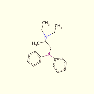 CCN(CC)C(C)CP(c1ccccc1)c1ccccc1